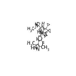 CCn1nccc1C(=O)N[C@H](C(=O)Nc1cnc(-c2c(C)n[nH]c2C)c(F)c1)C(C1CC1)C1(C)CC1